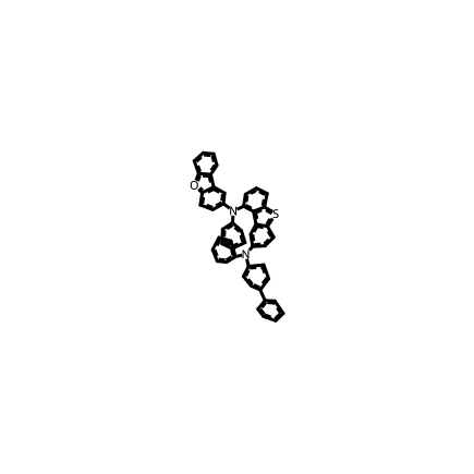 c1ccc(-c2ccc(N(c3ccccc3)c3ccc4sc5cccc(N(c6ccccc6)c6ccc7oc8ccccc8c7c6)c5c4c3)cc2)cc1